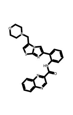 O=C(Nc1ccccc1-c1cn2c(CN3CCOCC3)csc2n1)c1cnc2ccccc2n1